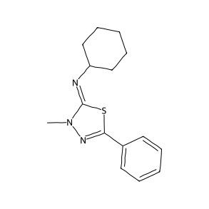 Cn1nc(-c2ccccc2)sc1=NC1CCCCC1